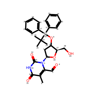 Cc1c(C=O)n([C@H]2CC(O[Si](c3ccccc3)(c3ccccc3)C(C)(C)C)[C@@H](CO)O2)c(=O)[nH]c1=O